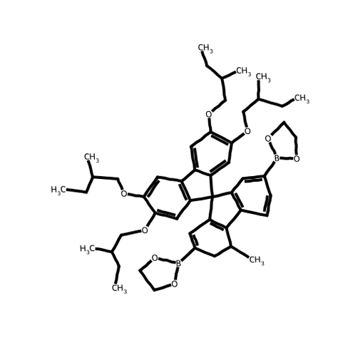 CCC(C)COc1cc2c(cc1OCC(C)CC)C1(C3=C(c4ccc(B5OCCO5)cc41)C(C)CC(B1OCCO1)=C3)c1cc(OCC(C)CC)c(OCC(C)CC)cc1-2